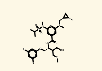 COCC(CO)[C@H](COc1cc(F)cc(F)c1)NC(=O)c1cc(N(C)C[C@H]2C[C@@H]2C)nc(N(C)S(=O)(=O)C(C)C)c1